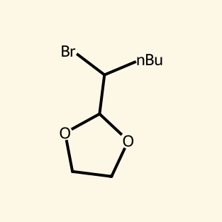 CCCCC(Br)C1OCCO1